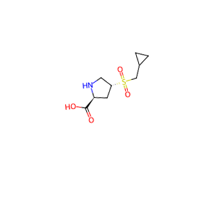 O=C(O)[C@@H]1C[C@@H](S(=O)(=O)CC2CC2)CN1